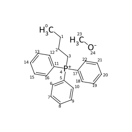 CCCC[P+](c1ccccc1)(c1ccccc1)c1ccccc1.C[O-]